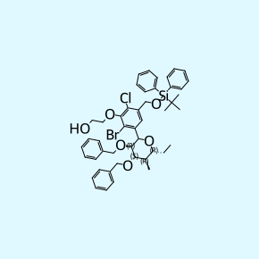 CC[C@H]1OC(c2cc(CO[Si](c3ccccc3)(c3ccccc3)C(C)(C)C)c(Cl)c(OCCO)c2Br)[C@H](OCc2ccccc2)[C@@H](OCc2ccccc2)[C@@H]1C